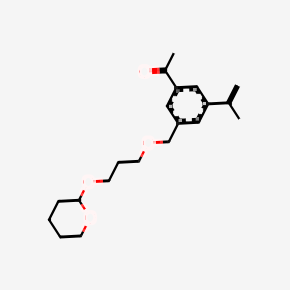 C=C(C)c1cc(COCCCOC2CCCCO2)cc(C(C)=O)c1